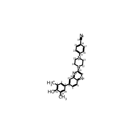 Cc1cc(-c2ccc3ncc(N4CCN(c5ccc(C#N)cc5)CC4)nc3c2)cc(C)c1O